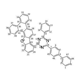 c1ccc(-c2ccc(-c3nc(-c4ccccc4)nc(-c4cccc5oc6c(ccc7c8ccccc8c8ccccc8c76)c45)n3)cc2)cc1